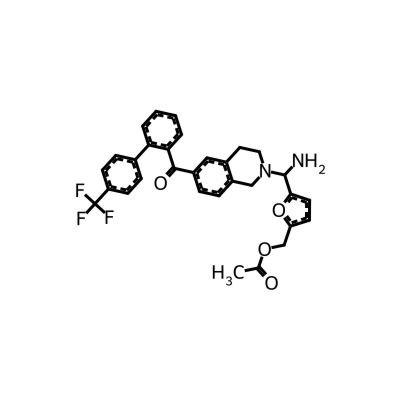 CC(=O)OCc1ccc(C(N)N2CCc3cc(C(=O)c4ccccc4-c4ccc(C(F)(F)F)cc4)ccc3C2)o1